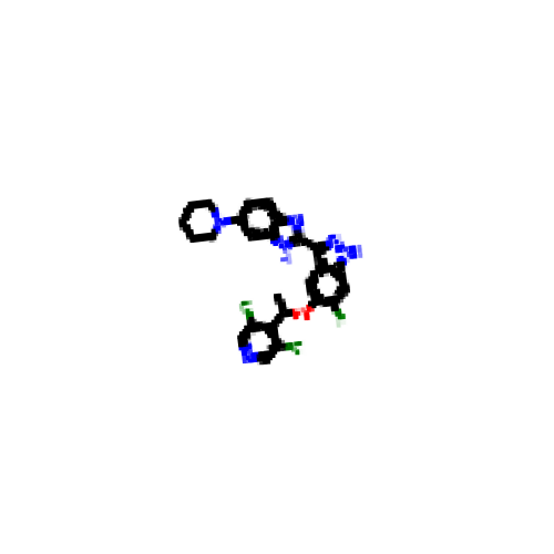 CC(Oc1cc2c(-c3nc4ccc(N5CCCCC5)cc4[nH]3)n[nH]c2cc1F)c1c(Cl)cncc1Cl